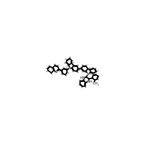 CC1C=CC=CC1C1Nc2ccccc2NC1N1c2ccccc2C2C=CC(c3ccc4c(c3)c3ccccc3n4C3=CC(c4ccc5c(n4)CCC=C5)=CCC3)=CC21